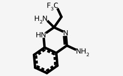 NC1=NC(N)(CC(F)(F)F)Nc2ccccc21